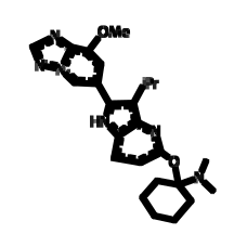 COc1cc(-c2[nH]c3ccc(OC4(N(C)C)CCCCC4)nc3c2C(C)C)cn2ncnc12